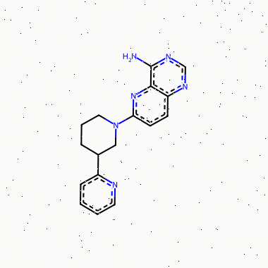 Nc1ncnc2ccc(N3CCCC(c4ccccn4)C3)nc12